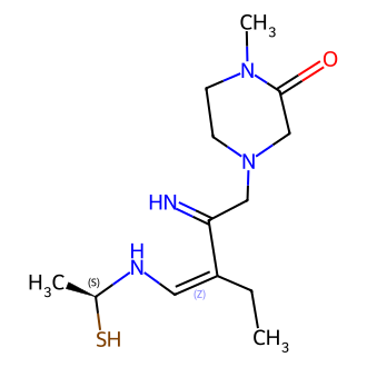 CC/C(=C/N[C@H](C)S)C(=N)CN1CCN(C)C(=O)C1